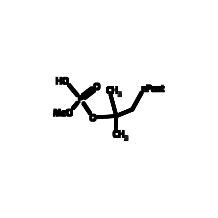 CCCCCCC(C)(C)OP(=O)(O)OC